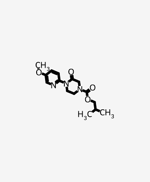 COc1ccc(N2CCN(C(=O)OCC(C)C)CC2=O)nc1